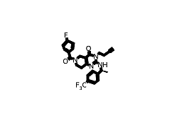 C#CCCn1c(N[C@@H](C)c2ccc(C(F)(F)F)cc2)nc2c(c1=O)CN(C(=O)c1ccc(F)cc1)CC2